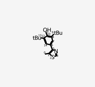 Cc1scnc1-c1cc(C(C)(C)C)c(O)c(C(C)(C)C)c1